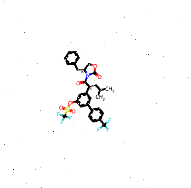 CC(C)C[C@H](C(=O)N1C(=O)OC[C@@H]1Cc1ccccc1)c1cc(OS(=O)(=O)C(F)(F)F)cc(-c2ccc(C(F)(F)F)cc2)c1